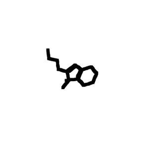 CCCCC1=CC2=C(CCCC2)[C]1C